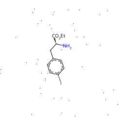 CCOC(=O)[C@@H](N)Cc1ccc(I)cc1